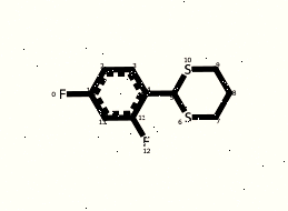 Fc1ccc(C2SCCCS2)c(F)c1